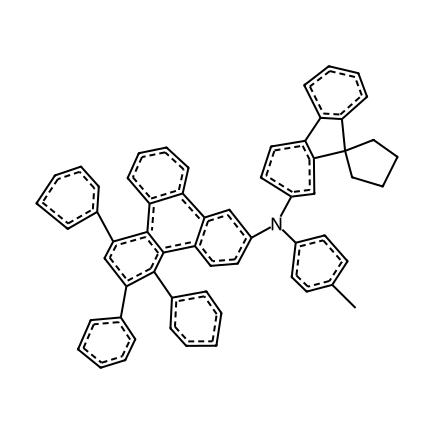 Cc1ccc(N(c2ccc3c(c2)C2(CCCC2)c2ccccc2-3)c2ccc3c(c2)c2ccccc2c2c(-c4ccccc4)cc(-c4ccccc4)c(-c4ccccc4)c32)cc1